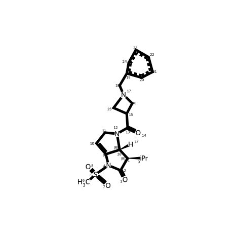 CC(C)[C@H]1C(=O)N(S(C)(=O)=O)C2=CCN(C(=O)C3CN(Cc4ccccc4)C3)[C@@H]21